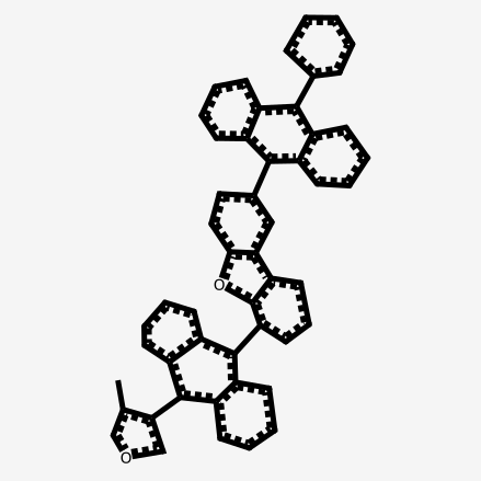 Cc1cocc1-c1c2ccccc2c(-c2cccc3c2oc2ccc(-c4c5ccccc5c(-c5ccccc5)c5ccccc45)cc23)c2ccccc12